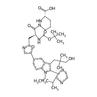 CCn1c(-c2cccnc2C(C)C)c(CC(C)(C)CO)c2cc(-c3cnc(C[C@H](NC(=O)OC(C)(C)C)C(=O)N4CCC[C@@H](C(=O)O)N4)o3)ccc21